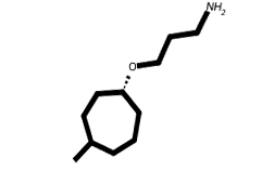 CC1CCC[C@@H](OCCCN)CC1